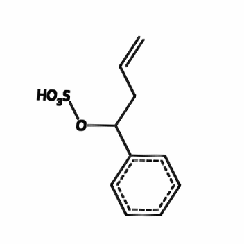 C=CCC(OS(=O)(=O)O)c1ccccc1